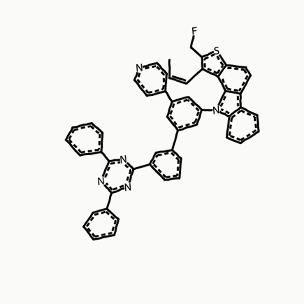 C/C=C\c1c(CF)sc2ccc3c4ccccc4n(-c4cc(-c5ccncc5)cc(-c5cccc(-c6nc(-c7ccccc7)nc(-c7ccccc7)n6)c5)c4)c3c12